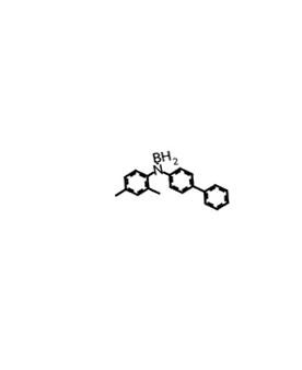 BN(c1ccc(-c2ccccc2)cc1)c1ccc(C)cc1C